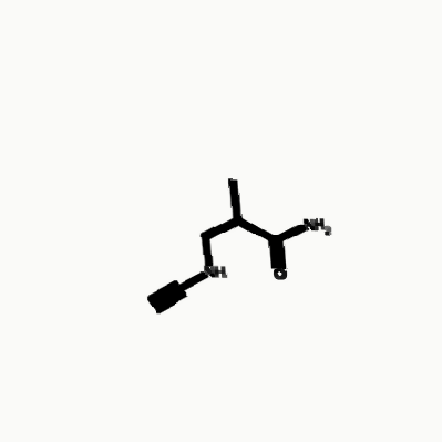 C#CNCC(C)C(N)=O